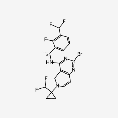 C[C@@H](Nc1nc(Br)nc2c1CN(C1(C(F)F)CC1)C=C2)c1cccc(C(F)F)c1F